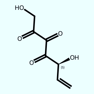 C=C[C@H](O)C(=O)C(=O)C(=O)CO